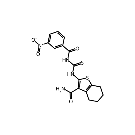 NC(=O)c1c(NC(=S)NC(=O)c2cccc([N+](=O)[O-])c2)sc2c1CCCC2